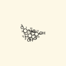 COc1ccc(-c2c(C(C)(C)C)c(O)c(C=O)c(-c3ccc(O)cc3O)c2C(C)(C)C)cc1